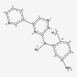 CC(=O)N(c1nncc(-c2cccnc2)n1)c1cc(N)ccc1C